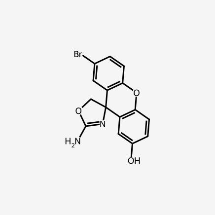 NC1=NC2(CO1)c1cc(O)ccc1Oc1ccc(Br)cc12